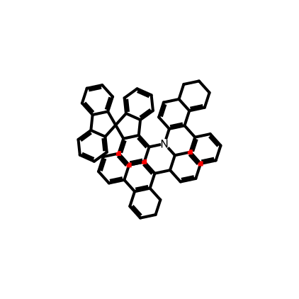 C1=CC(c2cc3ccccc3c3c2CCC=C3)C(N(C2=C(c3ccccc3)C3=CCCCC3C=C2)c2cccc3c2-c2ccccc2C32c3ccccc3-c3ccccc32)C=C1